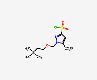 CCOC(=O)c1cc(S(=O)(=O)Cl)nn1COCC[Si](C)(C)C